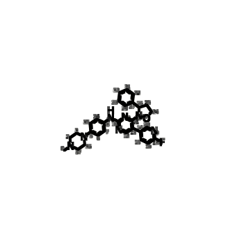 CN1CCN(c2ccc(Nc3ncc(-c4ccc(F)nc4)c(N4OCCC4c4ccccc4)n3)cc2)CC1